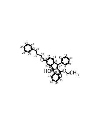 CCOC(=O)C1=C(c2ccccc2)c2ccc(OCCCc3ccccc3)cc2C1(O)c1ccccc1